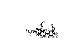 CCSc1nc(N)nc2ncc(-c3ccc(OC)c(OC)c3)nc12